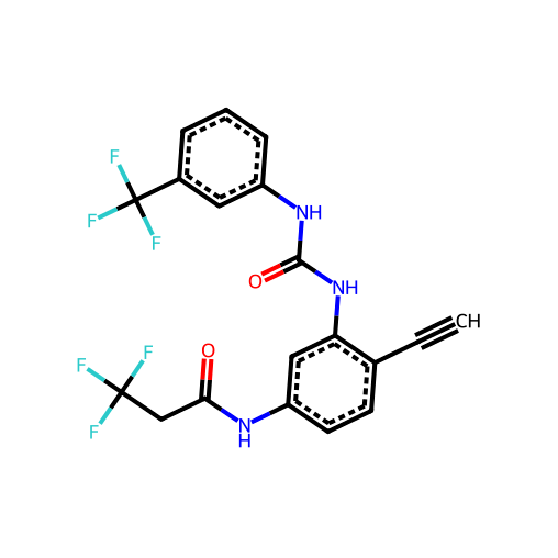 C#Cc1ccc(NC(=O)CC(F)(F)F)cc1NC(=O)Nc1cccc(C(F)(F)F)c1